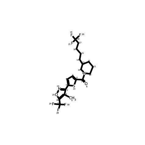 Cc1c(-c2ccc(C(=O)N3CCCC(CCCCC(F)(F)F)C3)s2)noc1C(F)(F)F